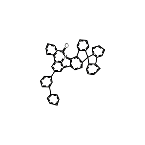 O=c1c2ccccc2c2cc(-c3cccc(-c4ccccc4)c3)cc3c4ccc5c(c4n1c23)-c1ccccc1C51c2ccccc2-c2ccccc21